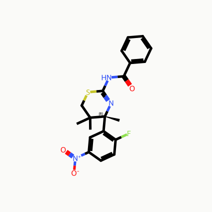 CC1(C)CSC(NC(=O)c2ccccc2)=N[C@]1(C)c1cc([N+](=O)[O-])ccc1F